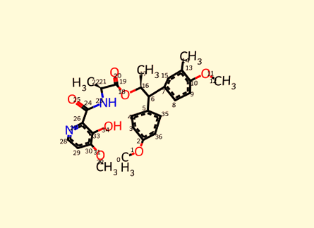 COc1ccc(C(c2ccc(OC)c(C)c2)[C@H](C)OC(=O)[C@H](C)NC(=O)c2nccc(OC)c2O)cc1